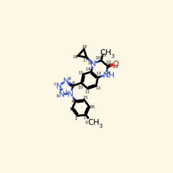 Cc1ccc(-n2nnnc2-c2ccc3c(c2)N(C2CC2)C(C)C(=O)N3)cc1